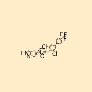 O=C1[C@H](Cc2c(Cl)cc(-c3ccc(C(F)(F)F)cc3)cc2Cl)CCN1[C@H]1CCc2n[nH]cc2C1